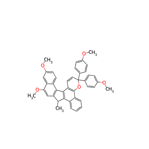 COc1ccc(C2(c3ccc(OC)cc3)C=Cc3c4c(c5ccccc5c3O2)C(C)c2cc(OC)c3cc(OC)ccc3c2-4)cc1